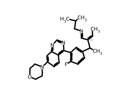 C/C=C(\C=NCC(C)C)C(C)c1ccc(F)c(-c2ncnc3cc(N4CCOCC4)ccc23)c1